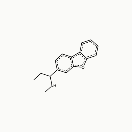 CCC(NC)c1ccc2c(c1)oc1ccccc12